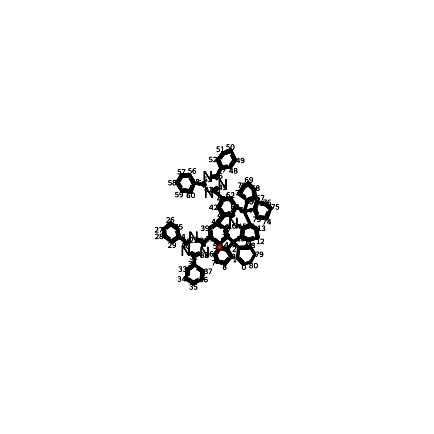 C1=CC(C2(c3ccccc3)c3cccc4c3-n3c5c2cc(-c2nc(-c6ccccc6)nc(-c6ccccc6)n2)cc5c2cc(-c5nc(-c6ccccc6)nc(-c6ccccc6)n5)cc(c23)C4(c2ccccc2)c2ccccc2)=CCC1